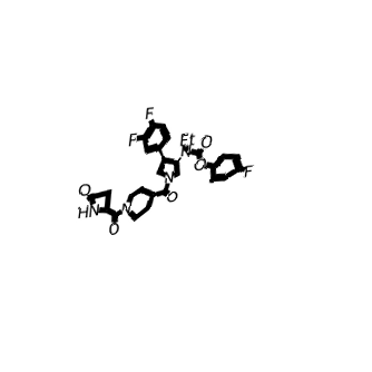 CCN(C(=O)Oc1ccc(F)cc1)[C@@H]1CN(C(=O)C2CCN(C(=O)C3CC(=O)N3)CC2)C[C@H]1c1ccc(F)c(F)c1